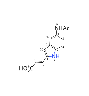 CC(=O)Nc1ccc2[nH]c(C=CC(=O)O)cc2c1